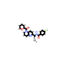 CC(NC(=O)c1ccc(F)cc1)c1ccc2c(n1)CCCN2C(=O)C1CCCCO1